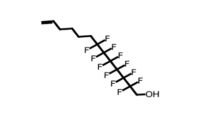 C=CCCCCC(F)(F)C(F)(F)C(F)(F)C(F)(F)C(F)(F)C(F)(F)CO